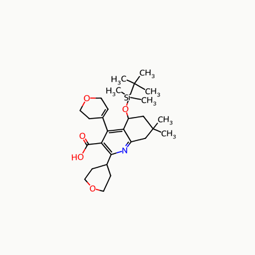 CC1(C)Cc2nc(C3CCOCC3)c(C(=O)O)c(C3=CCOCC3)c2C(O[Si](C)(C)C(C)(C)C)C1